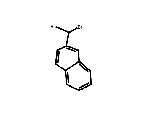 BrC(Br)c1ccc2ccccc2c1